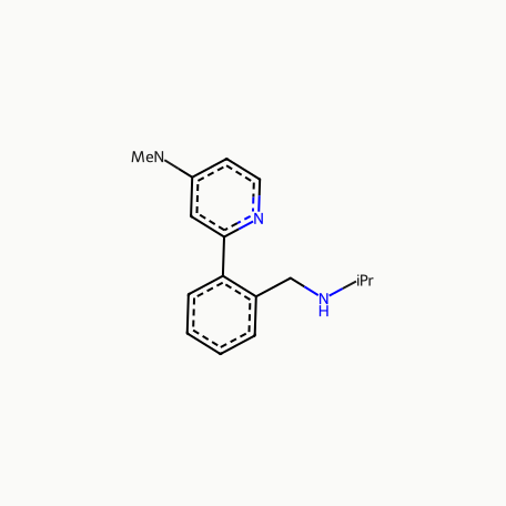 CNc1ccnc(-c2ccccc2CNC(C)C)c1